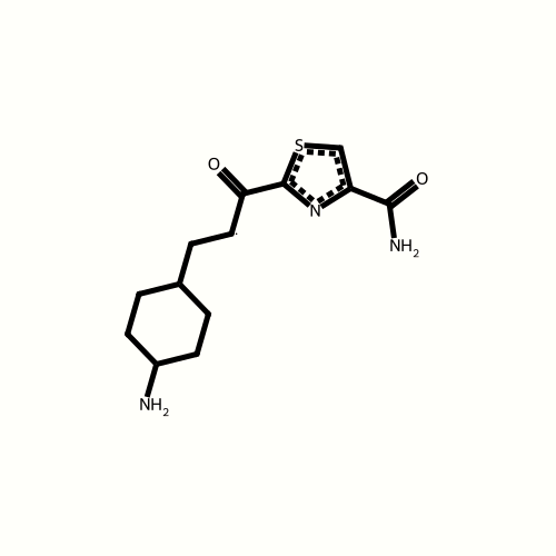 NC(=O)c1csc(C(=O)[CH]CC2CCC(N)CC2)n1